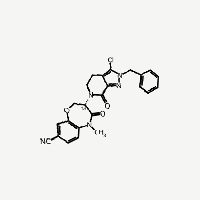 CN1C(=O)[C@@H](N2CCc3c(nn(Cc4ccccc4)c3Cl)C2=O)COc2cc(C#N)ccc21